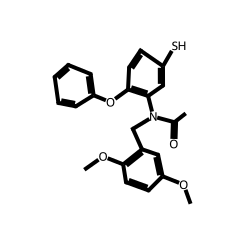 COc1ccc(OC)c(CN(C(C)=O)c2cc(S)ccc2Oc2ccccc2)c1